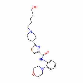 O=C(Nc1ccccc1N1CCOCC1)c1csc(C2CCN(CCCCCO)CC2)n1